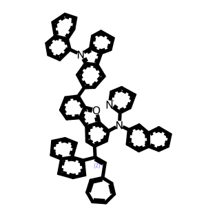 C1=CC=CC=CC=1/C=C(/c1cc(N(c2ccc3ccccc3c2)c2ccccn2)c2oc3c(-c4ccc5c6ccccc6n(-c6cccc7ccccc67)c5c4)cccc3c2c1)c1cccc2ccccc12